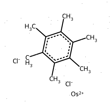 Cc1c(C)c(C)c(C)c(C)c1C.[Cl-].[Cl-].[Os+2]